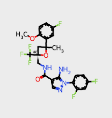 COc1ccc(F)cc1C1(C)C[C@@](CNC(=O)c2cnn(-c3ccc(F)cc3F)c2N)(C(F)(F)F)O1